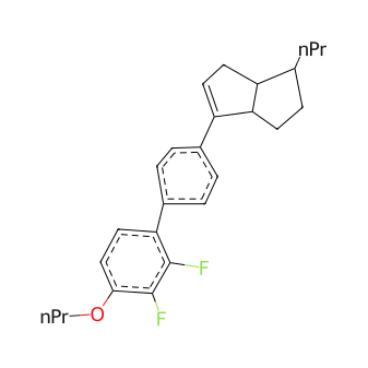 CCCOc1ccc(-c2ccc(C3=CCC4C(CCC)CCC34)cc2)c(F)c1F